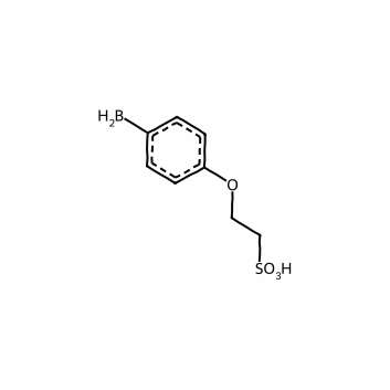 Bc1ccc(OCCS(=O)(=O)O)cc1